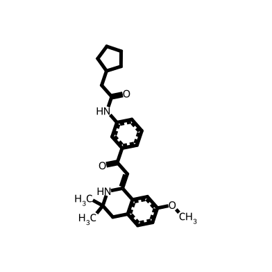 COc1ccc2c(c1)C(=CC(=O)c1cccc(NC(=O)CC3CCCC3)c1)NC(C)(C)C2